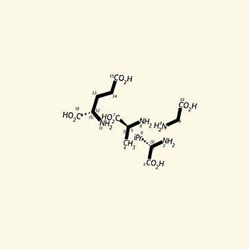 CC(C)[C@H](N)C(=O)O.C[C@H](N)C(=O)O.NCC(=O)O.N[C@@H](CCC(=O)O)C(=O)O